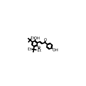 CCOc1c(C(C)(C)CC)cc(C(C)(C)CC)c(O)c1C=CC(=O)c1ccc(O)cc1